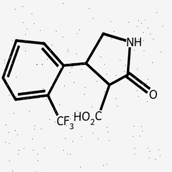 O=C(O)C1C(=O)NCC1c1ccccc1C(F)(F)F